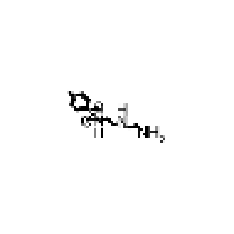 Cc1ccc(S(=O)(=O)NCCNCCN)cc1